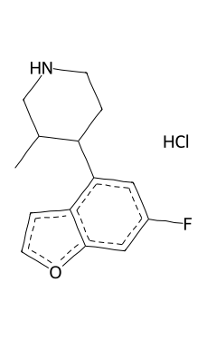 CC1CNCCC1c1cc(F)cc2occc12.Cl